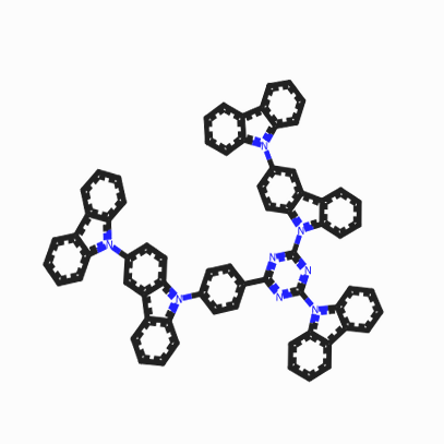 c1ccc2c(c1)c1ccccc1n2-c1ccc2c(c1)c1ccccc1n2-c1ccc(-c2nc(-n3c4ccccc4c4ccccc43)nc(-n3c4ccccc4c4cc(-n5c6ccccc6c6ccccc65)ccc43)n2)cc1